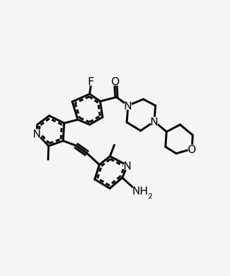 Cc1nc(N)ccc1C#Cc1c(-c2ccc(C(=O)N3CCN(C4CCOCC4)CC3)c(F)c2)ccnc1C